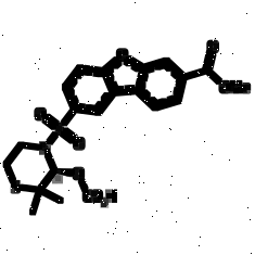 COC(=O)c1ccc2c(c1)oc1ccc(S(=O)(=O)N3CCSC(C)(C)[C@@H]3OC(=O)O)cc12